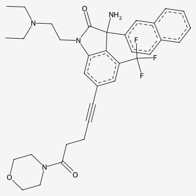 CCN(CC)CCN1C(=O)C(N)(c2ccc3ccccc3c2)c2c1cc(C#CCCC(=O)N1CCOCC1)cc2C(F)(F)F